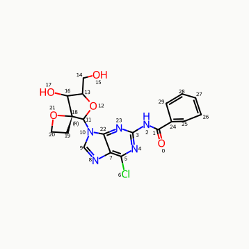 O=C(Nc1nc(Cl)c2ncn(C3OC(CO)C(O)[C@]34CCO4)c2n1)c1ccccc1